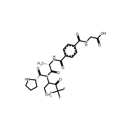 CCC(C(=O)C(F)(F)F)N(C(=O)[C@H](C)NC(=O)c1ccc(C(=O)NCC(=O)O)cc1)C(=O)[C@@H]1CCCN1